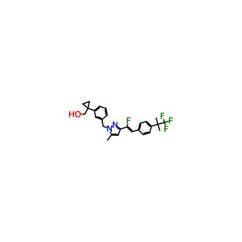 Cc1cc(C(F)=Cc2ccc(C(C)(C)C(F)(F)F)cc2)nn1Cc1cccc(C2(CO)CC2)c1